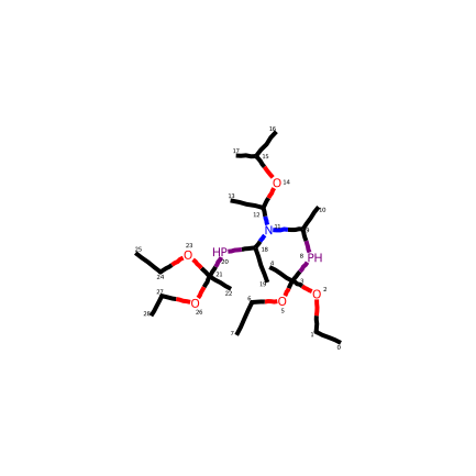 CCOC(C)(OCC)PC(C)N(C(C)OC(C)C)C(C)PC(C)(OCC)OCC